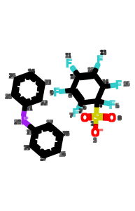 O=S(=O)([O-])C1(F)C(F)=C(F)C(F)=C(F)C1F.c1ccc([I+]c2ccccc2)cc1